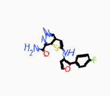 NC(=O)c1nncc2cc(Nc3ccoc3-c3ccc(F)cc3)sc12